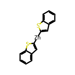 c1ccc2s[c]([Zn][c]3cc4ccccc4s3)cc2c1